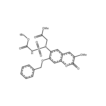 COC(=O)CN(c1cc2cc(OC)c(=O)oc2cc1OCc1ccccc1)S(=O)(=O)NC(=O)OC(C)(C)C